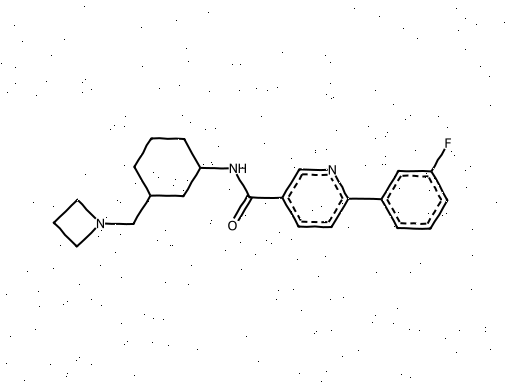 O=C(NC1CCCC(CN2CCC2)C1)c1ccc(-c2cccc(F)c2)nc1